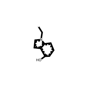 [CH2]Cn1ccc2c(O)cccc21